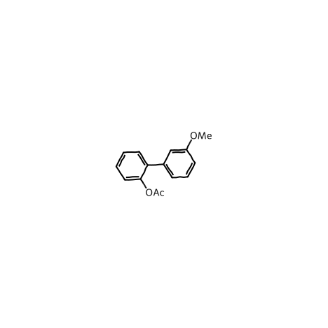 COc1cccc(-c2ccccc2OC(C)=O)c1